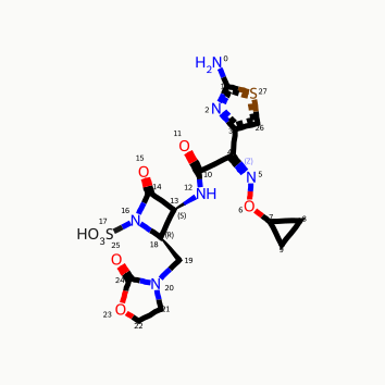 Nc1nc(/C(=N/OC2CC2)C(=O)N[C@@H]2C(=O)N(S(=O)(=O)O)[C@@H]2CN2CCOC2=O)cs1